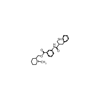 CN1CCCCC1COC(=O)c1cccc(NC(=O)C(CS)Cc2ccccc2)c1